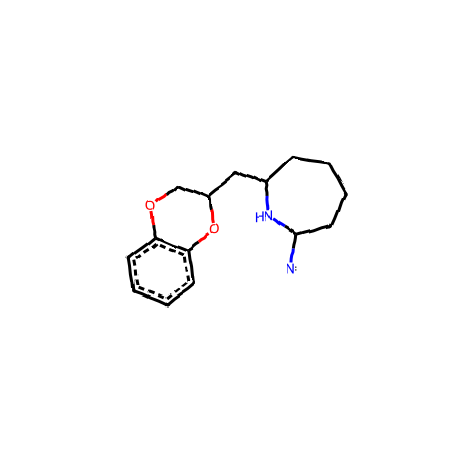 [N]C1CCCCC(CC2COc3ccccc3O2)N1